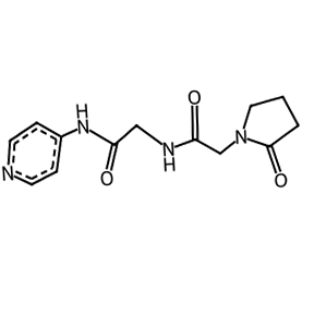 O=C(CN1CCCC1=O)NCC(=O)Nc1ccncc1